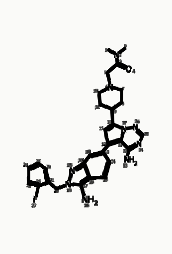 CN(C)C(=O)CN1CCC(c2cc(-c3ccc4c(N)n(Cc5ccccc5F)nc4c3)c3c(N)ncnn23)CC1